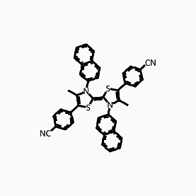 CC1=C(c2ccc(C#N)cc2)S/C(=C2/SC(c3ccc(C#N)cc3)=C(C)N2c2ccc3ccccc3c2)N1c1ccc2ccccc2c1